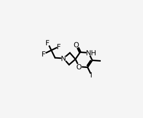 CC1=C(I)OC2(CN(CC(F)(F)F)C2)C(=O)N1